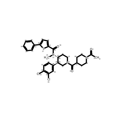 CC(=O)N1CCC(C(=O)N2CC[C@@H](N(C)C(=O)c3ccc(-c4ccccc4)s3)[C@H](c3ccc(Cl)c(Cl)c3)C2)CC1